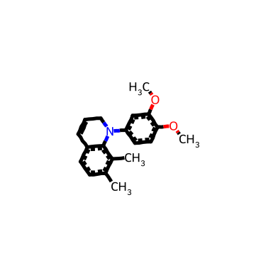 COc1ccc(N2CC=Cc3ccc(C)c(C)c32)cc1OC